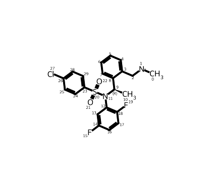 C[N]Cc1ccccc1[C@@H](C)N(c1cc(F)ccc1F)S(=O)(=O)c1ccc(Cl)cc1